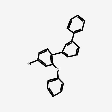 [2H]c1ccc(-c2cccc(-c3ccccc3)c2)c(Oc2ccccc2)c1